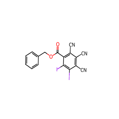 N#Cc1c(I)c(I)c(C(=O)OCc2ccccc2)c(C#N)c1C#N